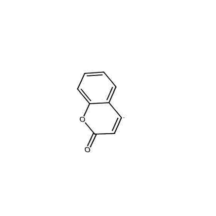 O=c1c[c]c2ccccc2o1